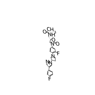 CC(=O)NC[C@H]1CN(c2ccc(N3CC[C@H](n4cc(-c5ccc(F)cc5)cn4)C3)c(F)c2)C(=O)O1